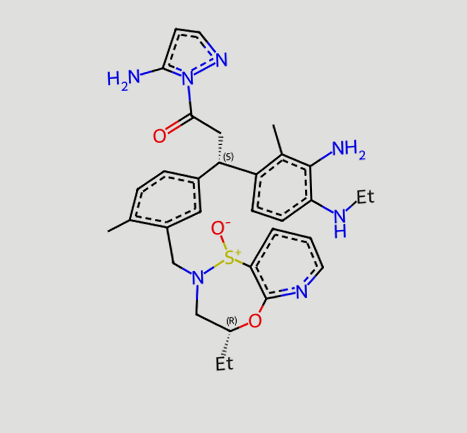 CCNc1ccc([C@@H](CC(=O)n2nccc2N)c2ccc(C)c(CN3C[C@@H](CC)Oc4ncccc4[S+]3[O-])c2)c(C)c1N